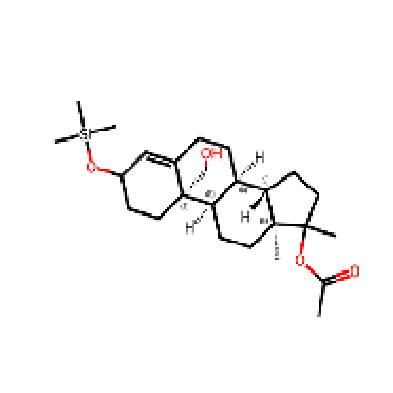 CC(=O)OC1(C)CC[C@H]2[C@@H]3CCC4=CC(O[Si](C)(C)C)CC[C@]4(CO)[C@@H]3CC[C@@]21C